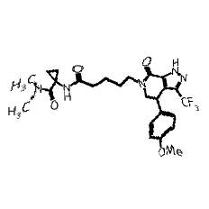 COc1ccc(C2CN(CCCCC(=O)NC3(C(=O)N(C)C)CC3)C(=O)c3[nH]nc(C(F)(F)F)c32)cc1